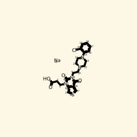 O=C(O)CCn1c(=O)n(CCN2CCN(c3ccccc3Cl)CC2)c(=O)c2cscc21.[Na]